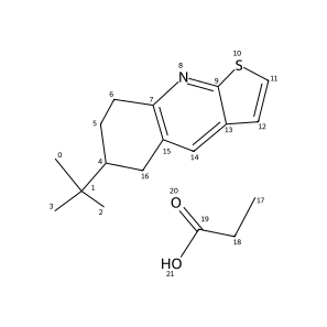 CC(C)(C)C1CCc2nc3sccc3cc2C1.CCC(=O)O